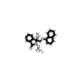 CON1C(=O)c2ccccc2C1(N)COc1cccc2ccccc12